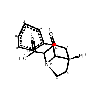 O=C(O)C1C(=O)C[C@@H]2CC[N@]1C2Cc1ccccc1